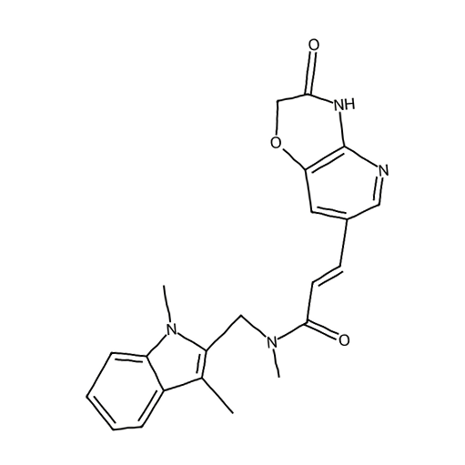 Cc1c(CN(C)C(=O)C=Cc2cnc3c(c2)OCC(=O)N3)n(C)c2ccccc12